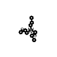 c1ccc(-c2ccc3cc(-c4nc(-c5cccc6c5ccc5oc7ccccc7c56)nc(-c5cccc6oc7c(-c8ccccc8)cccc7c56)n4)ccc3c2)cc1